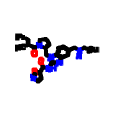 CC(C)C=C(C#N)C(=O)N1CCCC1Cn1c(NC(=O)c2ccno2)nc2cc(CNCC(C)(C)C)ccc21